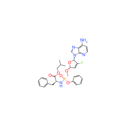 CC(C)COC(=O)[C@H](Cc1ccccc1)N[P@](=O)(CO[C@@H]1C=C(F)[C@H](n2cnc3c(N)ccnc32)O1)Oc1ccccc1